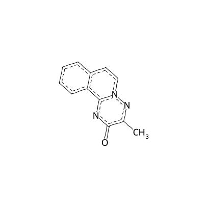 Cc1nn2ccc3ccccc3c2nc1=O